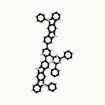 c1ccc(-c2nc(-c3ccccc3)nc(-c3cc(-c4ccc5c(c4)oc4cc6c7ccccc7n(-c7ccccc7)c6cc45)cnc3-c3ccc4c(c3)oc3cc5c6ccccc6n(-c6ccccc6)c5cc34)n2)cc1